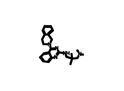 CN(C)CC(C)(C)CNc1nc(N2CCc3ccccc3C2)c2ccccc2n1